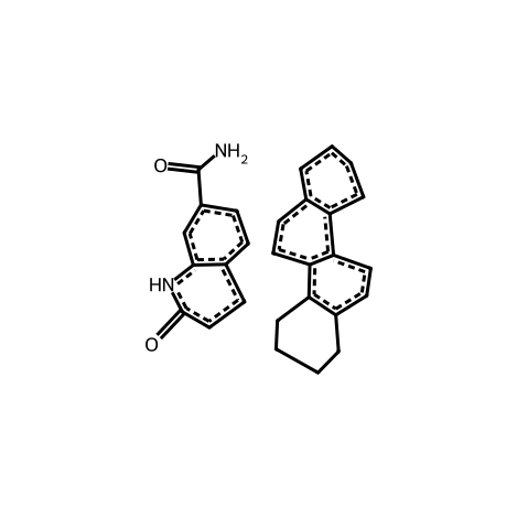 NC(=O)c1ccc2ccc(=O)[nH]c2c1.c1ccc2c(c1)ccc1c3c(ccc12)CCCC3